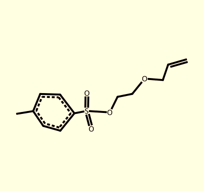 C=CCOCCOS(=O)(=O)c1ccc(C)cc1